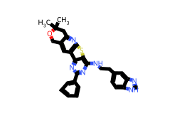 CC1(C)Cc2nc3sc4c(NCCc5ccc6[nH]cnc6c5)nc(-c5ccccc5)nc4c3cc2CO1